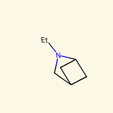 CCN1CC2CC1C2